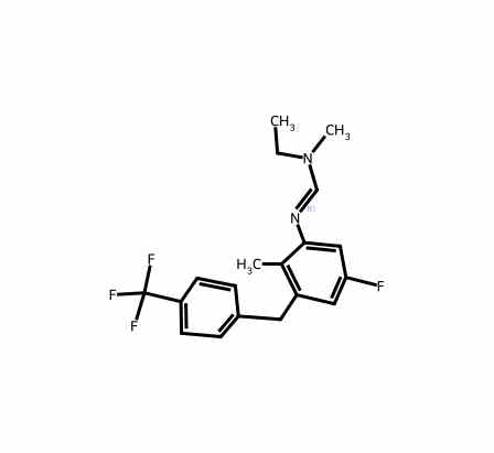 CCN(C)/C=N/c1cc(F)cc(Cc2ccc(C(F)(F)F)cc2)c1C